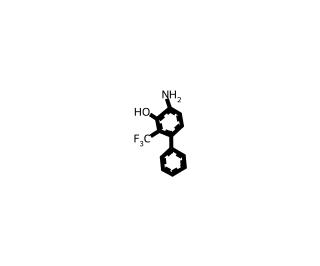 Nc1ccc(-c2ccccc2)c(C(F)(F)F)c1O